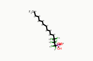 O=P(O)(O)C(F)(F)C(F)(F)C(F)(F)CCCCCCCCCCCC(F)(F)F